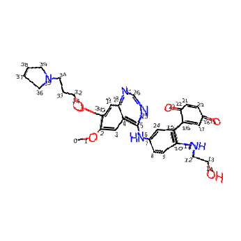 COc1cc2c(Nc3ccc(NCCO)c(C4=CC(=O)C=CC4=O)c3)ncnc2cc1OCCCN1CCCC1